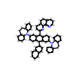 c1ccc2c(c1)CCc1ccccc1N2c1ccc2c(-c3ccc4ccc5cccnc5c4n3)c3cc(N4c5ccccc5CCc5ccccc54)ccc3c(-c3ccc4ccccc4c3)c2c1